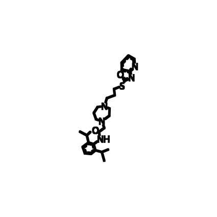 CC(C)c1cccc(C(C)C)c1NC(=O)CN1CCCN(CCCSc2nc3ncccc3o2)CC1